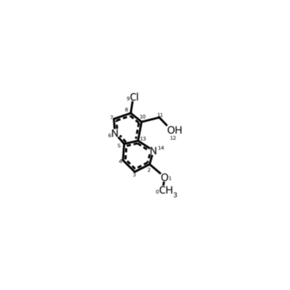 COc1ccc2ncc(Cl)c(CO)c2n1